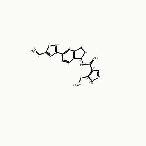 CCc1nc(-c2ccc3c(c2)CC[C@H]3NC(=O)c2cn[nH]c2OC)no1